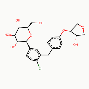 OC[C@H]1O[C@@H](c2ccc(Cl)c(Cc3ccc(OC4COC[C@@H]4O)cc3)c2)[C@H](O)[C@@H](O)[C@@H]1O